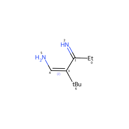 CCC(=N)/C(=C\N)C(C)(C)C